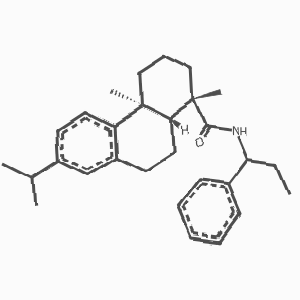 CCC(NC(=O)[C@@]1(C)CCC[C@]2(C)c3ccc(C(C)C)cc3CC[C@@H]12)c1ccccc1